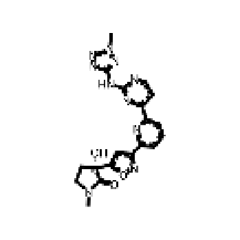 CN1CC[C@@](O)(c2cc(-c3cccc(-c4ccnc(Nc5nnn(C)n5)n4)n3)no2)C1=O